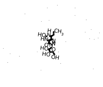 CCCC(=N)c1nnn(C2OC(CO)C(O)C2O)c(=O)c1NCO